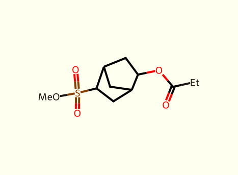 CCC(=O)OC1CC2CC1CC2S(=O)(=O)OC